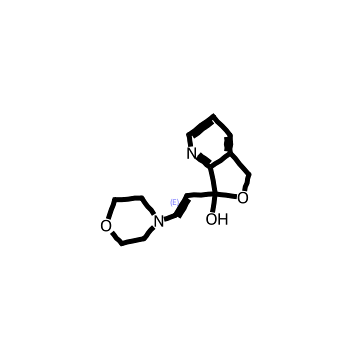 OC1(/C=C/N2CCOCC2)OCc2cccnc21